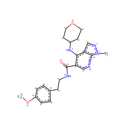 CCn1ncc2c(NC3CCOCC3)c(C(=O)NCCc3ccc(OC(F)(F)F)cc3)cnc21